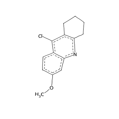 COc1ccc2c(Cl)c3c(nc2c1)CCCC3